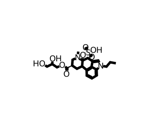 CCCn1cc2c3c(cccc31)C1C[C@@H](C(=O)OCC(O)CO)CN(C)C1(OS(=O)(=O)O)C2